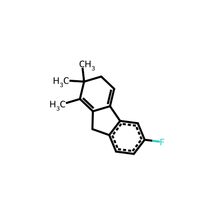 CC1=C2Cc3ccc(F)cc3C2=CCC1(C)C